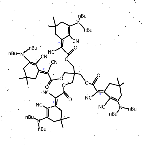 CCCCN(CCCC)C1=C(C#N)/C(=C(/C#N)C(=O)OCC(COC(=O)/C(C#N)=C2\CC(C)(C)CC(N(CCCC)CCCC)=C2C#N)(COC(=O)/C(C#N)=C2\CC(C)(C)CC(N(CCCC)CCCC)=C2C#N)COC(=O)/C(C#N)=C2\CC(C)(C)CC(N(CCCC)CCCC)=C2C#N)CC(C)(C)C1